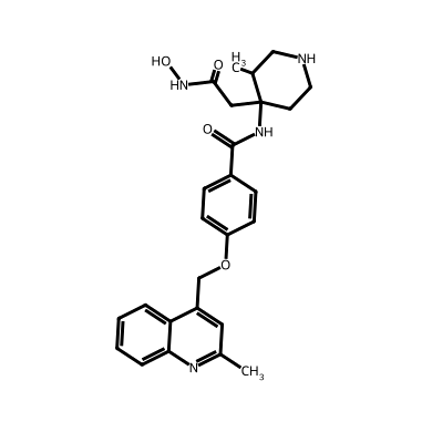 Cc1cc(COc2ccc(C(=O)NC3(CC(=O)NO)CCNCC3C)cc2)c2ccccc2n1